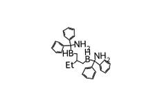 CCC(CBC(N)(c1ccccc1)c1ccccc1)CBC(N)(c1ccccc1)c1ccccc1